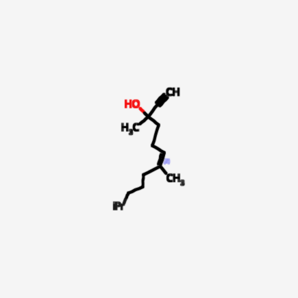 C#CC(C)(O)CC/C=C(/C)CCCC(C)C